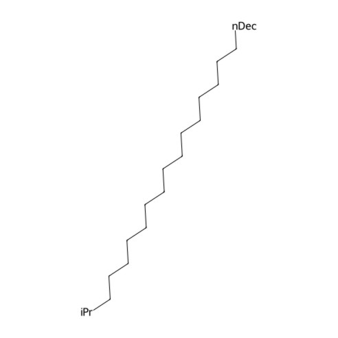 [CH2]CCCCCCCCCCCCCCCCCCCCCCCCC(C)C